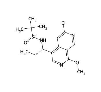 CC[C@H](N[S+]([O-])C(C)(C)C)c1cnc(OC)c2cnc(Cl)cc12